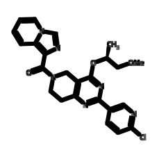 COC[C@H](C)Oc1nc(-c2ccc(Cl)nc2)nc2c1CN(C(=O)c1ncn3ccccc13)CC2